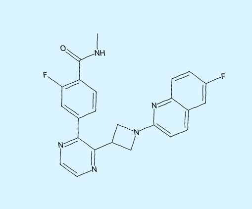 CNC(=O)c1ccc(-c2nccnc2C2CN(c3ccc4cc(F)ccc4n3)C2)cc1F